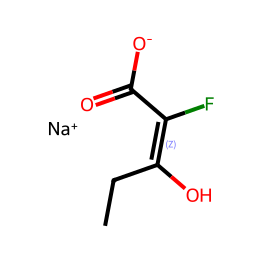 CC/C(O)=C(/F)C(=O)[O-].[Na+]